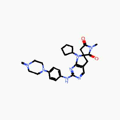 CN1CCN(c2ccc(Nc3ncc4c(n3)N(C3CCCC3)C3(CC(=O)N(C)C3=O)C4)cc2)CC1